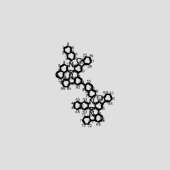 c1ccc2cc(N3c4ccc5ccccc5c4B4c5c(cc6c(oc7ccccc76)c53)-c3cc(-c5ccc6ccc(N7c8cc9ccccc9cc8B8c9c(cc%10c(oc%11ccccc%11%10)c97)-c7cccc9c%10ccccc%10n8c79)cc6c5)cc5c6ccccc6n4c35)ccc2c1